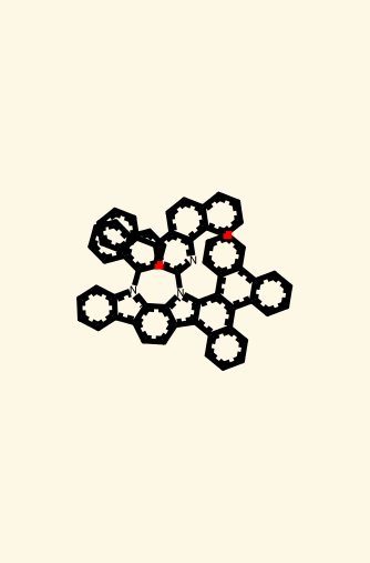 c1ccc(-c2nc(-n3c4c(c5ccccc5c5c6ccccc6c6ccccc6c54)c4ccc5c6ccccc6n(-c6cccc7ccccc67)c5c43)nc3c2ccc2ccccc23)cc1